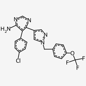 Nc1ncnc(-c2cnn(Cc3ccc(OC(F)(F)F)cc3)c2)c1-c1ccc(Cl)cc1